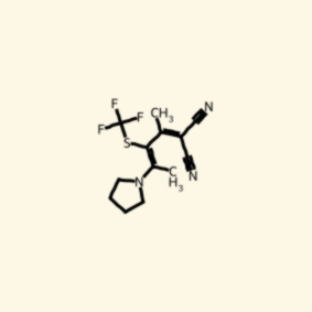 CC(=C(C#N)C#N)/C(SC(F)(F)F)=C(\C)N1CCCC1